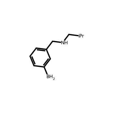 Bc1cccc(CNCC(C)C)c1